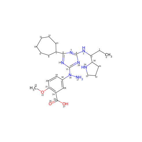 CCC(Nc1nc(C2CCCCCC2)nc(N(N)c2ccc(OC)c(C(=O)O)c2)n1)C1CCCN1